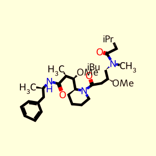 CC[C@H](C)[C@@H]([C@@H](CC(=O)N1CCCC[C@H]1[C@H](OC)[C@@H](C)C(=O)N[C@H](C)Cc1ccccc1)OC)N(C)C(=O)CC(C)C